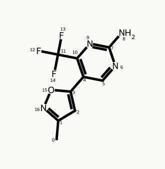 Cc1cc(-c2cnc(N)nc2C(F)(F)F)on1